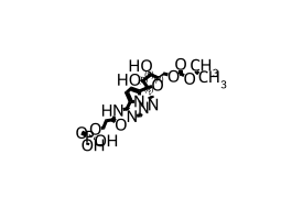 CC(C)OC(=O)OC[C@H]1O[C@@](C#N)(c2ccc3c(NC(=O)CCOP(=O)(O)O)ncnn23)[C@H](O)[C@@H]1O